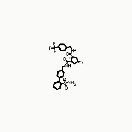 CN(Cc1ccc(C(F)(F)F)cc1)C(=O)[C@@H]1CC(=O)C[C@H]1C(=O)NCc1ccc(-c2ccccc2S(N)(=O)=O)cc1